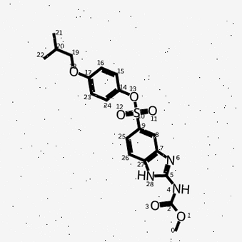 COC(=O)Nc1nc2cc(S(=O)(=O)Oc3ccc(OCC(C)C)cc3)ccc2[nH]1